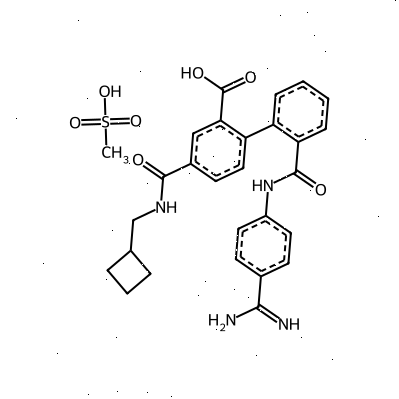 CS(=O)(=O)O.N=C(N)c1ccc(NC(=O)c2ccccc2-c2ccc(C(=O)NCC3CCC3)cc2C(=O)O)cc1